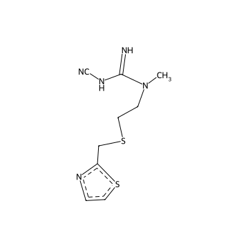 CN(CCSCc1nccs1)C(=N)NC#N